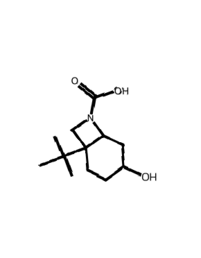 CC(C)(C)C12CCC(O)CC1N(C(=O)O)C2